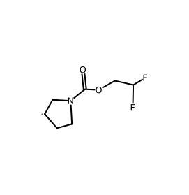 O=C(OCC(F)F)N1C[CH]CC1